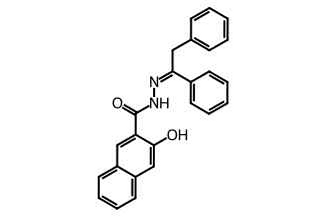 O=C(NN=C(Cc1ccccc1)c1ccccc1)c1cc2ccccc2cc1O